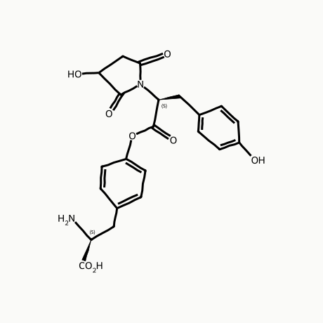 N[C@@H](Cc1ccc(OC(=O)[C@H](Cc2ccc(O)cc2)N2C(=O)CC(O)C2=O)cc1)C(=O)O